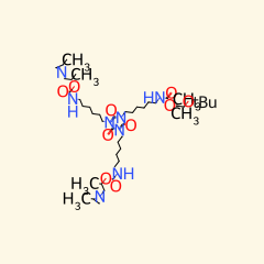 CC(CN1CC1C)OC(=O)NCCCCCCn1c(=O)n(CCCCCCNC(=O)OC(C)CN2CC2C)c(=O)n(CCCCCCNC(=O)OC(C)(C)COC(C)(C)C)c1=O